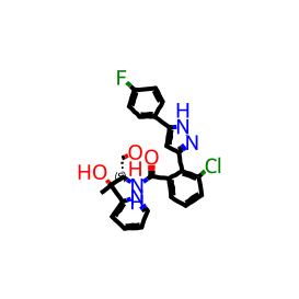 CC(O)(c1ccccn1)[C@H](CO)NC(=O)c1cccc(Cl)c1-c1cc(-c2ccc(F)cc2)[nH]n1